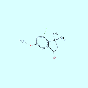 COc1cc(F)c2c(c1)C(Br)CC2(C)C